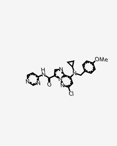 COc1ccc(CN(c2cc(Cl)nn3c(C(=O)Nc4ccncn4)cnc23)C2CC2)cc1